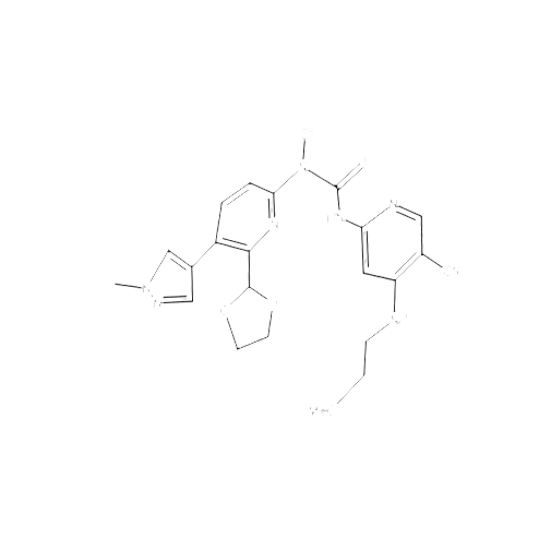 CCN(C(=O)Nc1cc(NCCOC)c(C#N)cn1)c1ccc(-c2cnn(C)c2)c(C2OCCO2)n1